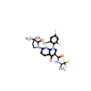 CC(NC(=O)c1cn(-c2c(F)cc(F)cc2Cl)c2nc(N3CCC(C)(C)C3=O)ccc2c1=O)C(F)(F)F